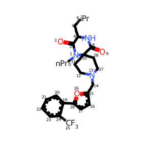 CCCN1C(=O)C(CC(C)C)NC(=O)C12CCN(Cc1ccc(-c3ccccc3C(F)(F)F)o1)CC2